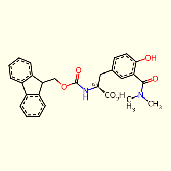 CN(C)C(=O)c1cc(C[C@H](NC(=O)OCC2c3ccccc3-c3ccccc32)C(=O)O)ccc1O